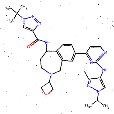 CC(C)n1cc(Nc2nccc(-c3ccc4c(c3)CN(C3COC3)CCC4NC(=O)c3cn(C(C)(C)C)nn3)n2)c(I)n1